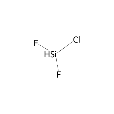 F[SiH](F)Cl